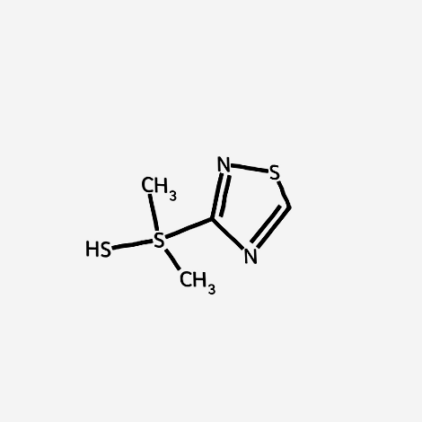 CS(C)(S)c1ncsn1